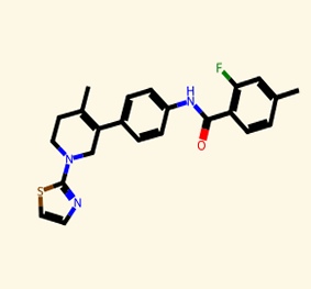 CC1=C(c2ccc(NC(=O)c3ccc(C)cc3F)cc2)CN(c2nccs2)CC1